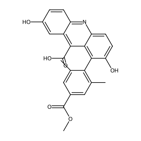 COC(=O)c1cc(C)c(-c2c(O)ccc3nc4ccc(O)cc4c(C(=O)O)c23)c(C)c1